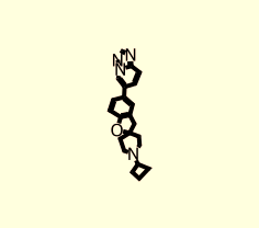 c1nc2ccc(-c3ccc4c(c3)CC3(CCN(C5CCC5)CC3)O4)cn2n1